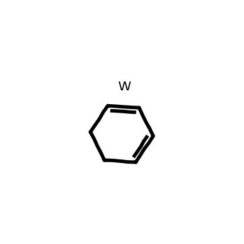 C1=CCCC=C1.[W]